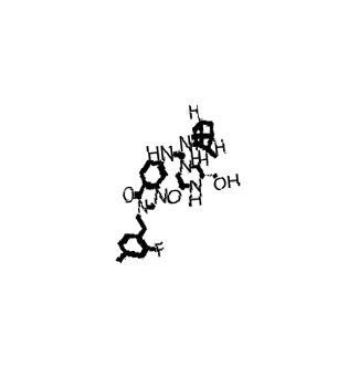 Cc1ccc(CCn2cnc3cc(N/C(=N/[C@H]4C[C@@H]5C[C@H]([C@@H]4C)C5(C)C)N4CC(=O)N[C@@H](CO)C4)ccc3c2=O)c(F)c1